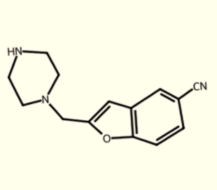 N#Cc1ccc2oc(CN3CCNCC3)cc2c1